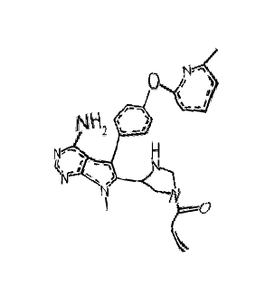 C=CC(=O)N1CNC(c2c(-c3ccc(Oc4cccc(C)n4)cc3)c3c(N)ncnc3n2C)C1